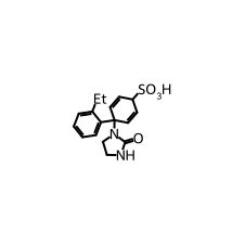 CCc1ccccc1C1(N2CCNC2=O)C=CC(S(=O)(=O)O)C=C1